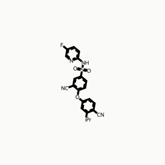 CC(C)c1cc(Oc2ccc(S(=O)(=O)Nc3ccc(F)cn3)cc2C#N)ccc1C#N